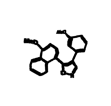 COc1cccc(-c2cnoc2-c2ccc(OC)c3ccccc23)c1